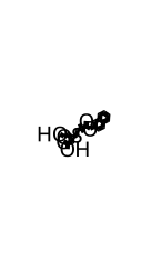 CC(C)(CSC(COO)CC(=O)O)C(=O)Oc1ccc2ccccc2c1